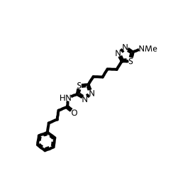 CNc1nnc(CCCCc2nnc(NC(=O)CCCc3ccccc3)s2)s1